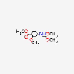 COC(=O)c1ccc(NCC(OC)OC)cc1OC